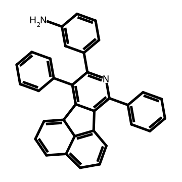 Nc1cccc(-c2nc(-c3ccccc3)c3c(c2-c2ccccc2)-c2cccc4cccc-3c24)c1